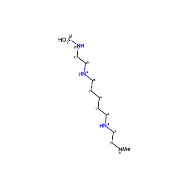 CNCCNCCCCCNCCNC(=O)O